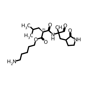 CC(C)C[C@@H](C(=O)NC(C)(C=O)CC1CCNC1=O)C(=O)OCCCCCN